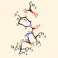 CC(=O)O[C@@H]1CN(C(=O)[C@H](NC(=O)OC(C)(C)C)C(C)C)CC[C@H]1Br